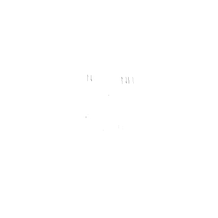 CC1(C)OCC(N)(C#N)CO1